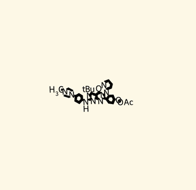 CC(=O)OOc1ccc2c(c1)n(-c1ccccn1)n1c(=O)c3c(C(C)(C)C)nc(Nc4ccc(N5CCN(C)CC5)cc4)nc3nc21